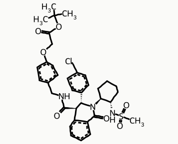 CC(C)(C)OC(=O)COc1ccc(CNC(=O)[C@@H]2c3ccccc3C(=O)N([C@H]3CCCC[C@@H]3NS(C)(=O)=O)[C@H]2c2ccc(Cl)cc2)cc1